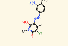 CCn1c(O)c(N=Nc2ccc(S(=O)(=O)O)c(N)c2)c(C)c(Cl)c1=O